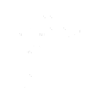 O=C(NCCCN1CCOCC1)c1cnccc1Nc1nc(-c2cccc(C(F)(F)F)n2)nn2cccc12